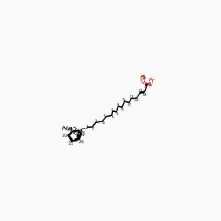 CCCCCCCCCCCCCCCC=CC(=O)[O-].[Na+].c1cc2ccc1cc2